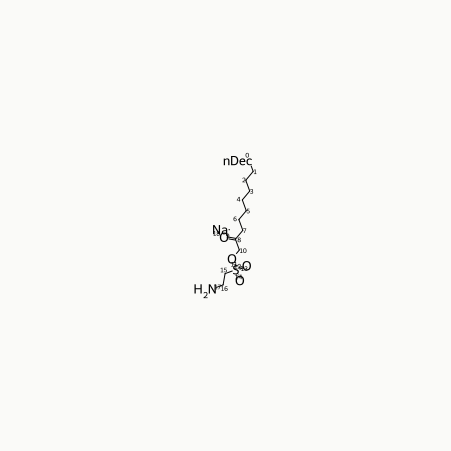 CCCCCCCCCCCCCCCCCC(=O)COS(=O)(=O)CCN.[Na]